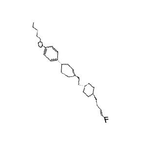 CCCCCOc1ccc([C@H]2CC[C@H](CC[C@H]3CC[C@H](CC/C=C/F)CC3)CC2)cc1